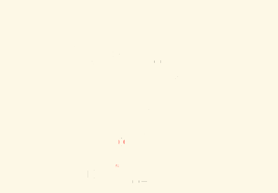 O=C(c1ccccc1)c1cccc(OCO)c1Cc1c(OCO)cccc1C(=O)c1ccccc1